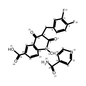 CN1C(=O)C(Cc2ccc(F)c(F)c2)C(=O)c2cc(C(=O)O)ccc21.NC(=O)c1ccncc1